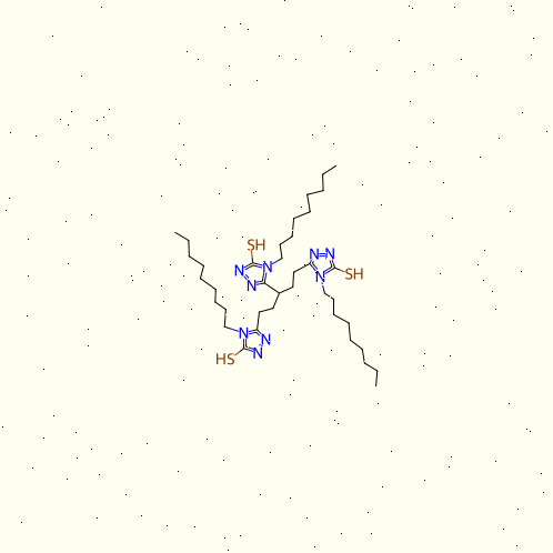 CCCCCCCCCn1c(S)nnc1CCC(CCc1nnc(S)n1CCCCCCCCC)c1nnc(S)n1CCCCCCCCC